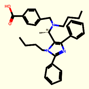 CCCCN(Cc1ccc(C(=O)O)cc1)[C@@H](C)c1c(-c2ccccc2)nc(-c2ccccc2)n1CCCC